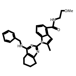 COCCNC(=O)c1cccc2c1cc(C)n2-c1nc2c(c(NCc3ccccc3)n1)CCCC2